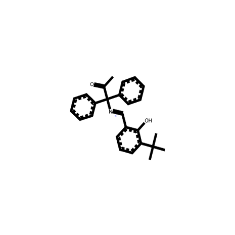 CC(=O)C(/N=C/c1cccc(C(C)(C)C)c1O)(c1ccccc1)c1ccccc1